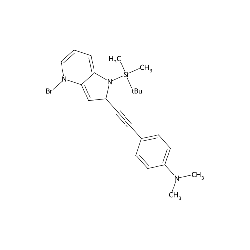 CN(C)c1ccc(C#CC2C=C3C(=CC=CN3Br)N2[Si](C)(C)C(C)(C)C)cc1